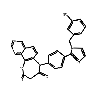 N#Cc1cccc(Cn2ccnc2-c2ccc(N3C(=O)CC(=O)Nc4c3ccc3ccccc43)cc2)c1